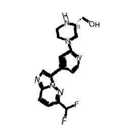 OC[C@@H]1CN(c2cc(-c3cnc4ccc(C(F)F)nn34)ccn2)CCN1